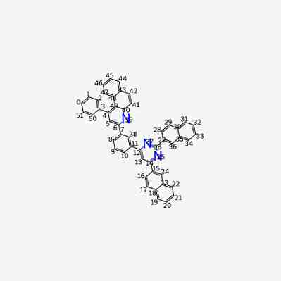 c1ccc(-c2cc(-c3cccc(-c4cc(-c5ccc6ccccc6c5)nc(-c5ccc6ccccc6c5)n4)c3)nc3ccc4ccccc4c23)cc1